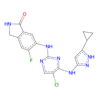 O=C1NCc2cc(F)c(Nc3ncc(Cl)c(Nc4cc(C5CC5)[nH]n4)n3)cc21